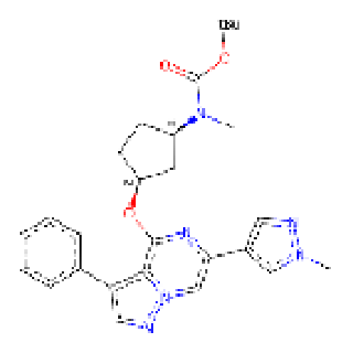 CN(C(=O)OC(C)(C)C)[C@@H]1CC[C@H](Oc2nc(-c3cnn(C)c3)cn3ncc(-c4ccccc4)c23)C1